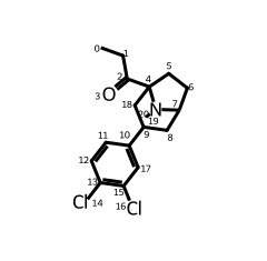 CCC(=O)C12CCC(CC(c3ccc(Cl)c(Cl)c3)C1)N2C